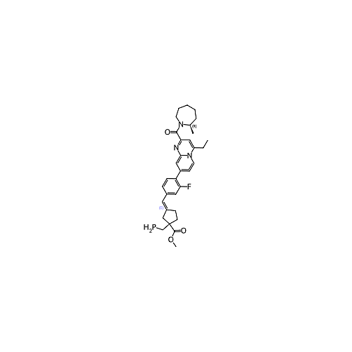 CCC1=CC(C(=O)N2CCCCC[C@H]2C)=NC2=CC(c3ccc(/C=C4\CCC(CP)(C(=O)OC)C4)cc3F)=C=CN12